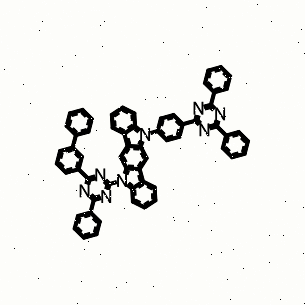 c1ccc(-c2cccc(-c3nc(-c4ccccc4)nc(-n4c5ccccc5c5cc6c(cc54)c4ccccc4n6-c4ccc(-c5nc(-c6ccccc6)nc(-c6ccccc6)n5)cc4)n3)c2)cc1